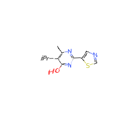 Cc1nc(-c2cncs2)nc(O)c1C(C)C